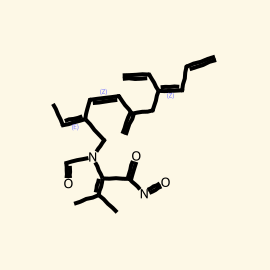 C=C/C=C(\C=C)CC(=C)/C=C\C(=C/C)CN(C=O)C(C(=O)N=O)=C(C)C